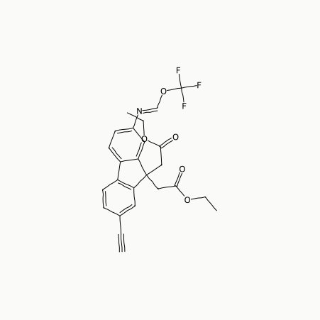 C#Cc1ccc2c(c1)C(CC(=O)OCC)(CC(=O)OCC)c1cc(N=COC(F)(F)F)ccc1-2